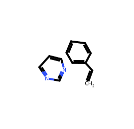 C=Cc1ccccc1.c1cncnc1